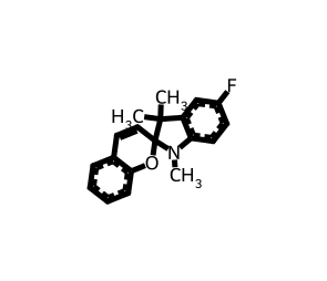 CN1c2ccc(F)cc2C(C)(C)C12C=Cc1ccccc1O2